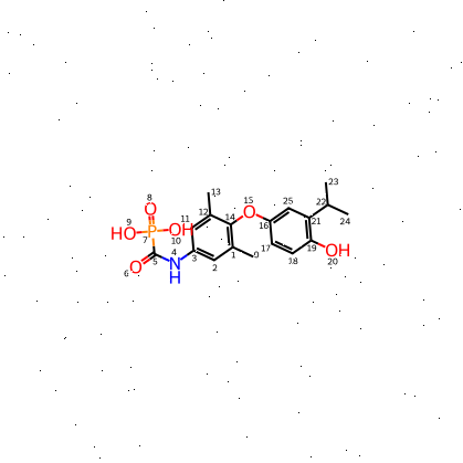 Cc1cc(NC(=O)P(=O)(O)O)cc(C)c1Oc1ccc(O)c(C(C)C)c1